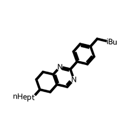 CCCCCCCC1CCc2nc(-c3ccc(CC(C)CC)cc3)ncc2C1